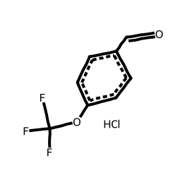 Cl.O=Cc1ccc(OC(F)(F)F)cc1